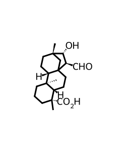 C[C@]12CC[C@@H]3C(CC[C@H]4[C@@]3(C)CCC[C@@]4(C)C(=O)O)(C1)[C@H](C=O)[C@H]2O